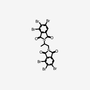 CC(CN1C(=O)c2cc(Br)c(Br)c(Br)c2C1=O)N1C(=O)c2cc(Br)c(Br)c(Br)c2C1=O